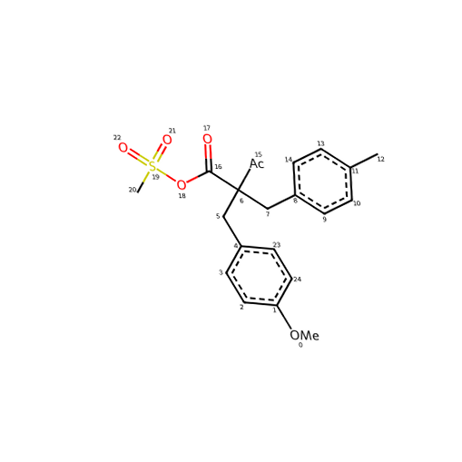 COc1ccc(CC(Cc2ccc(C)cc2)(C(C)=O)C(=O)OS(C)(=O)=O)cc1